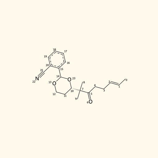 C/C=C/CCC(=O)C(C)(C)[C@@H]1CCOC(c2ccccc2C#N)O1